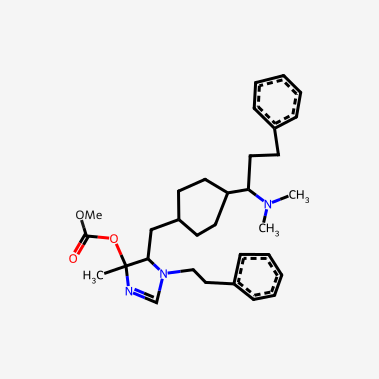 COC(=O)OC1(C)N=CN(CCc2ccccc2)C1CC1CCC(C(CCc2ccccc2)N(C)C)CC1